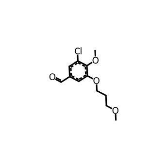 COCCCOc1cc(C=O)cc(Cl)c1OC